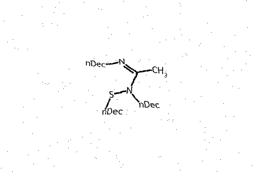 CCCCCCCCCCN=C(C)N(CCCCCCCCCC)SCCCCCCCCCC